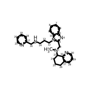 CN(Cc1nc2ccccc2n1CCCNCc1ccccn1)C1CCCc2cccnc21